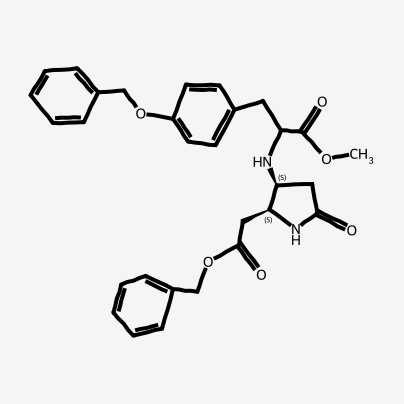 COC(=O)C(Cc1ccc(OCc2ccccc2)cc1)N[C@H]1CC(=O)N[C@H]1CC(=O)OCc1ccccc1